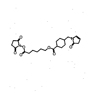 O=C(CCCCCOC(=O)C1CCC(CN2C=CCC2=O)CC1)ON1C(=O)CCC1=O